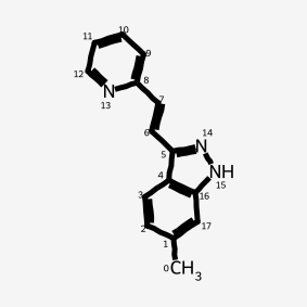 Cc1ccc2c(/C=C/c3ccccn3)n[nH]c2c1